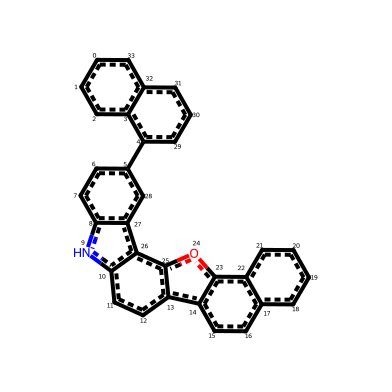 c1ccc2c(-c3ccc4[nH]c5ccc6c7ccc8ccccc8c7oc6c5c4c3)cccc2c1